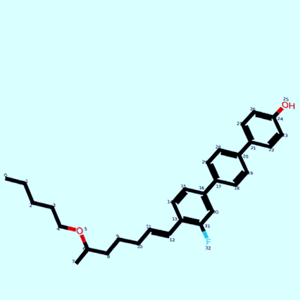 CCCCCOC(C)CCCC=Cc1ccc(-c2ccc(-c3ccc(O)cc3)cc2)cc1F